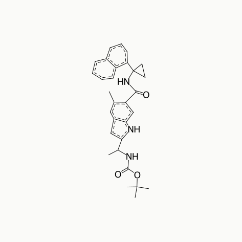 Cc1cc2cc(C(C)NC(=O)OC(C)(C)C)[nH]c2cc1C(=O)NC1(c2cccc3ccccc23)CC1